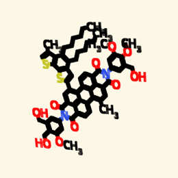 CCCCCCc1c(CCCCCC)c2c(C)csc2c2sc(-c3cc4c5c(ccc6c7c(C)cc8c9c(ccc(c3c56)c97)C(=O)N(c3cc(CO)c(OC)c(OC)c3)C8=O)C(=O)N(c3cc(CO)c(CO)c(OC)c3)C4=O)cc12